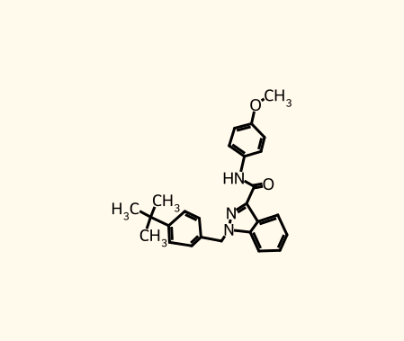 COc1ccc(NC(=O)c2nn(Cc3ccc(C(C)(C)C)cc3)c3ccccc23)cc1